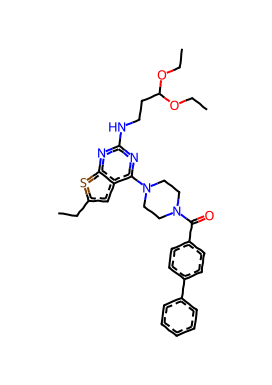 CCOC(CCNc1nc(N2CCN(C(=O)c3ccc(-c4ccccc4)cc3)CC2)c2cc(CC)sc2n1)OCC